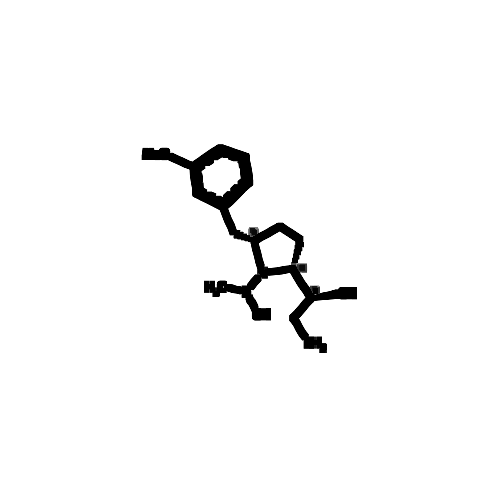 COc1cccc(C[C@@H]2CC[C@H]([C@@H](O)CN)N2B(C)O)c1